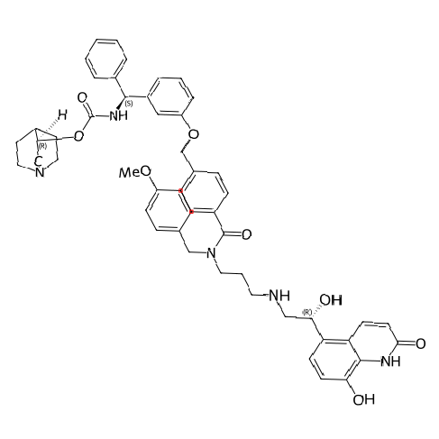 COc1ccc(CN(CCCNC[C@H](O)c2ccc(O)c3[nH]c(=O)ccc23)C(=O)c2ccc(COc3cccc([C@@H](NC(=O)O[C@H]4CN5CCC4CC5)c4ccccc4)c3)cc2)cc1